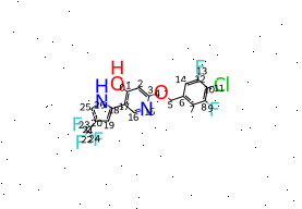 Oc1cc(OCc2cc(F)c(Cl)c(F)c2)ncc1-c1cc(C(F)(F)F)c[nH]1